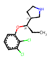 CC[C@@H](Oc1cccc(Cl)c1Cl)[C@H]1CCNC1